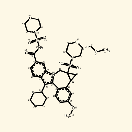 COC[C@@H]1CN(S(=O)(=O)C23CC2c2cc(OC)ccc2-c2c(C4CCCCC4)c4ccc(C(=O)NS(=O)(=O)N5CCOCC5)cc4n2C3)CCO1